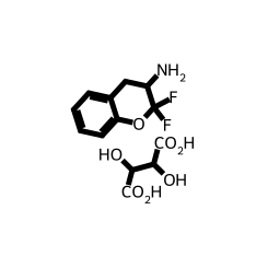 NC1Cc2ccccc2OC1(F)F.O=C(O)C(O)C(O)C(=O)O